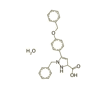 O.O=C(O)C1C=C(c2ccc(OCc3ccccc3)cc2)N(Cc2ccccc2)N1